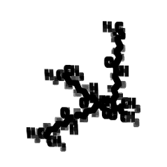 CSCCCCC(=O)NCCCCC(NC(=O)C(CCCCNC(=O)CCCCC(C)C)NC(=O)CCCCC(C)C)C(=O)C(C)C